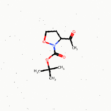 CC(=O)C1CCON1C(=O)OC(C)(C)C